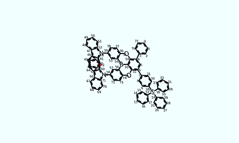 c1ccc(-c2cc(-c3ccc(S(c4ccccc4)(c4ccccc4)c4ccccc4)cc3)c3c4c2Oc2ccc(-n5c6ccccc6c6ccccc65)cc2B4c2cc(-n4c5ccccc5c5ccccc54)ccc2O3)cc1